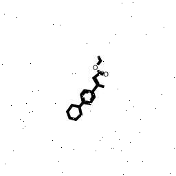 CCOC(=O)C=C(C)c1ccc(C2CCCCC2)cc1